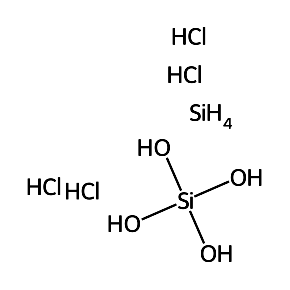 Cl.Cl.Cl.Cl.O[Si](O)(O)O.[SiH4]